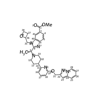 COC(=O)c1ccc2nc(C(C)N3CCC(c4cccc(OCc5cc6ccccn6n5)n4)CC3)n(CC3CCO3)c2c1